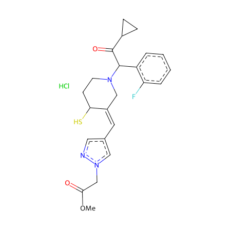 COC(=O)Cn1cc(/C=C2/CN(C(C(=O)C3CC3)c3ccccc3F)CCC2S)cn1.Cl